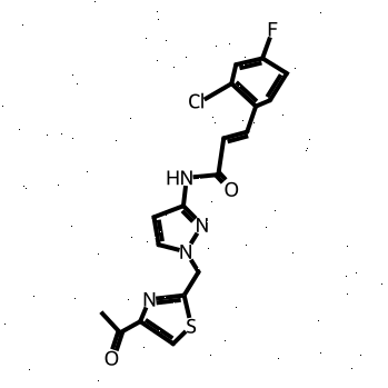 CC(=O)c1csc(Cn2ccc(NC(=O)C=Cc3ccc(F)cc3Cl)n2)n1